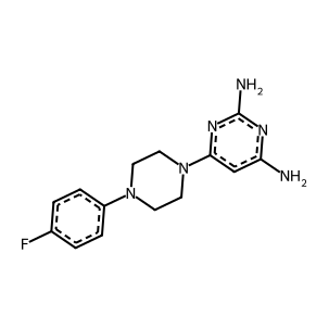 Nc1cc(N2CCN(c3ccc(F)cc3)CC2)nc(N)n1